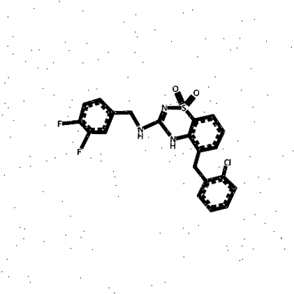 O=S1(=O)N=C(NCc2ccc(F)c(F)c2)Nc2c(Cc3ccccc3Cl)cccc21